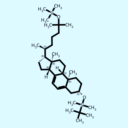 C[C@@H](CCCC(C)(C)O[Si](C)(C)C)[C@H]1CC[C@H]2C3=CC=C4C[C@@H](O[Si](C)(C)C(C)(C)C)CC[C@]4(C)[C@H]3CC[C@]12C